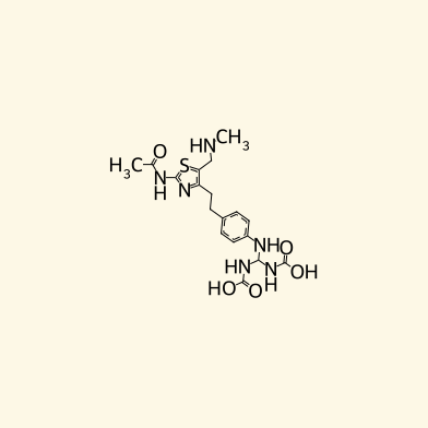 CNCc1sc(NC(C)=O)nc1CCc1ccc(NC(NC(=O)O)NC(=O)O)cc1